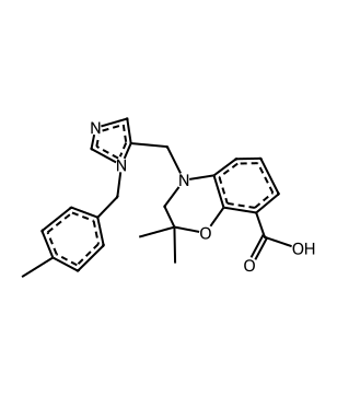 Cc1ccc(Cn2cncc2CN2CC(C)(C)Oc3c(C(=O)O)cccc32)cc1